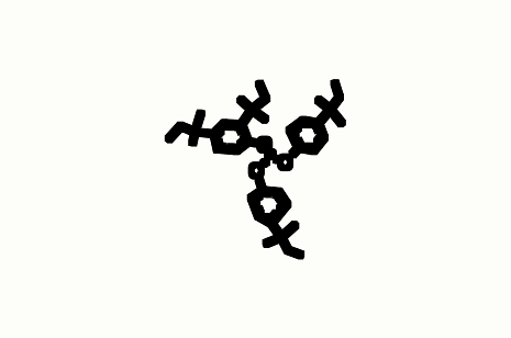 CCC(C)(C)c1ccc(OP(Oc2ccc(C(C)(C)CC)cc2)Oc2ccc(C(C)(C)CC)cc2C(C)(C)CC)cc1